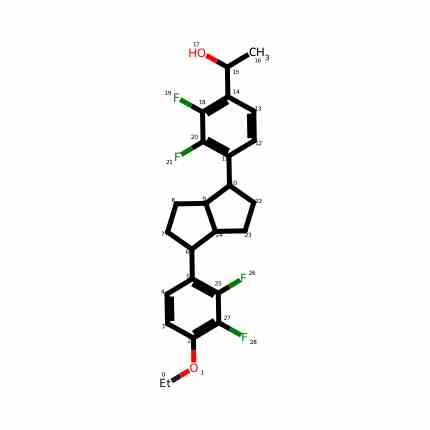 CCOc1ccc(C2CCC3C(c4ccc(C(C)O)c(F)c4F)CCC23)c(F)c1F